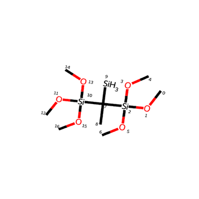 CO[Si](OC)(OC)C(C)([SiH3])[Si](OC)(OC)OC